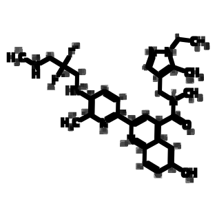 CCn1ncc(CN(C)C(=O)c2cc(-c3ccc(NCC(F)(F)CNC)c(C)n3)nc3ccc(O)cc23)c1C